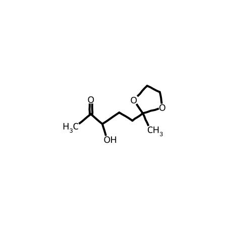 CC(=O)C(O)CCC1(C)OCCO1